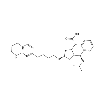 CC(C)O[C@@H]1c2ccccc2[C@@H](C(=O)O)N2C[C@H](OCCCCc3ccc4c(n3)NCCC4)CC12